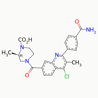 Cc1c(-c2ccc(C(N)=O)cc2)nc2cc(C(=O)N3CCN(C(=O)O)[C@H](C)C3)ccc2c1Cl